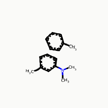 Cc1cccc(N(C)C)c1.Cc1ccccc1